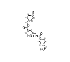 O=C(NC[C@@H]1CN(C(=O)OCc2ccc(F)cc2)CCO1)c1ccc(CO)cc1